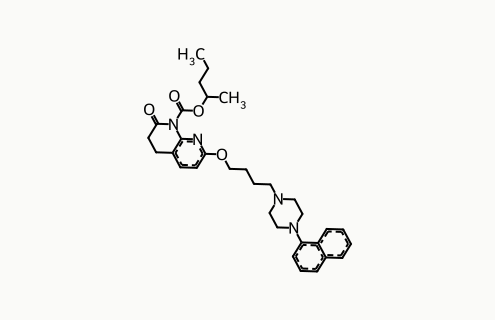 CCCC(C)OC(=O)N1C(=O)CCc2ccc(OCCCCN3CCN(c4cccc5ccccc45)CC3)nc21